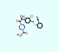 C=C(C(=O)N1CCN(C(C)=O)CC1)c1ccc(CSc2ccccc2C#N)c(Cl)c1